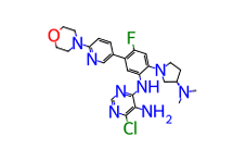 CN(C)[C@@H]1CCN(c2cc(F)c(-c3ccc(N4CCOCC4)nc3)cc2Nc2ncnc(Cl)c2N)C1